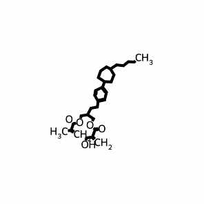 C=C(C)C(=O)OCC(CCc1ccc(C2CCCC(CCCCC)CC2)cc1)COC(=O)C(=C)CO